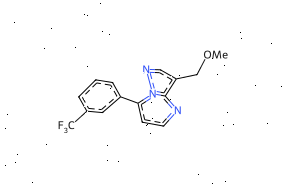 COCc1cnn2c(-c3cccc(C(F)(F)F)c3)ccnc12